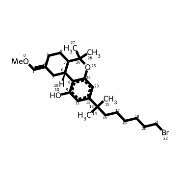 COC=C1CCC2[C@@H](C1)c1c(O)cc(C(C)(C)CCCCCCBr)cc1OC2(C)C